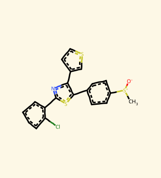 C[S+]([O-])c1ccc(-c2sc(-c3ccccc3Cl)nc2-c2ccsc2)cc1